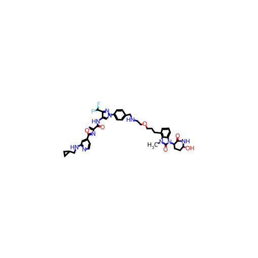 Cn1c(=O)n(C2CCC(O)NC2=O)c2cccc(CCCOCCNCc3ccc(-n4cc(NC(=O)c5coc(-c6ccnc(NCC7CC7)c6)n5)c(C(F)F)n4)cc3)c21